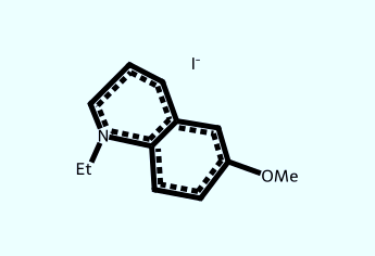 CC[n+]1cccc2cc(OC)ccc21.[I-]